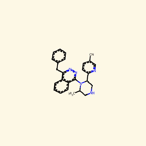 CC1CNCC(c2ccc(C#N)cn2)N1c1nnc(Cc2ccccc2)c2ccccc12